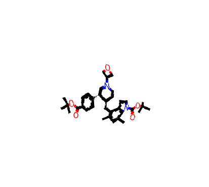 Cc1cc(C)c2c(ccn2C(=O)OC(C)(C)C)c1C[C@@H]1CCN(C2COC2)C[C@H]1c1ccc(C(=O)OC(C)(C)C)cc1